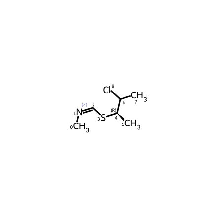 C/N=C\S[C@H](C)C(C)Cl